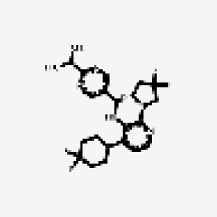 CC(C)c1ncc(C(=O)Nc2c(C3CCC(F)(F)CC3)ccnc2N2CCC(F)(F)C2)cn1